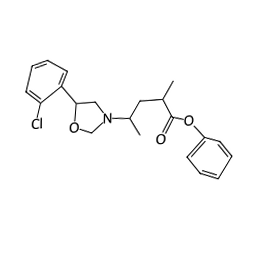 CC(CC(C)N1COC(c2ccccc2Cl)C1)C(=O)Oc1ccccc1